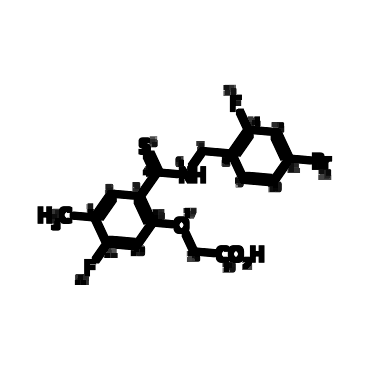 Cc1cc(C(=S)NCc2ccc(Br)cc2F)c(OCC(=O)O)cc1F